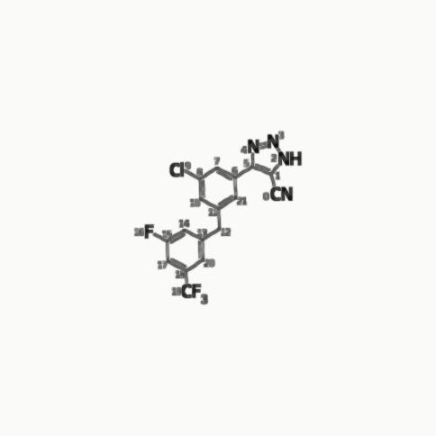 N#Cc1[nH]nnc1-c1cc(Cl)cc(Cc2cc(F)cc(C(F)(F)F)c2)c1